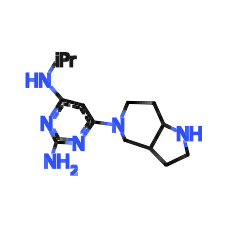 CC(C)Nc1cc(N2CCC3NCCC3C2)nc(N)n1